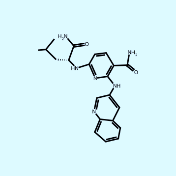 CC(C)C[C@@H](Nc1ccc(C(N)=O)c(Nc2cnc3ccccc3c2)n1)C(N)=O